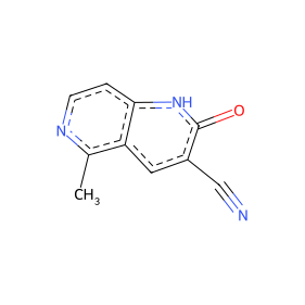 Cc1nccc2[nH]c(=O)c(C#N)cc12